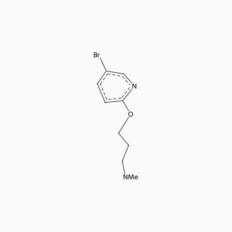 CNCCCOc1ccc(Br)cn1